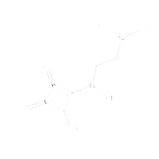 CCCN(CC)CCN(C)c1c(C(C)C)c(=S)c1=O